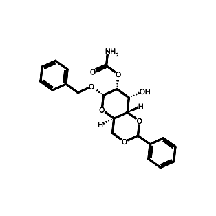 NC(=O)O[C@H]1[C@@H](OCc2ccccc2)O[C@@H]2COC(c3ccccc3)O[C@H]2[C@H]1O